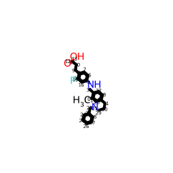 Cc1c(CNc2ccc(CCC(=O)O)c(F)c2)ccc2c1N(Cc1ccccc1)CCC2